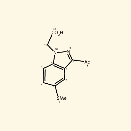 CSc1ccc2c(c1)c(C(C)=O)nn2CC(=O)O